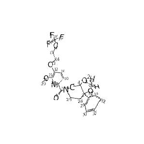 [2H]C1([2H])OC2CN(C(=O)c3ccc(OCCOC(F)(F)F)c(OC)n3)CCC2(c2ccccc2)O1